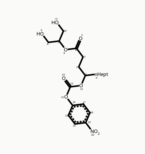 CCCCCCCC(CCC(=O)OC(CO)CO)OC(=O)Oc1ccc([N+](=O)[O-])cc1